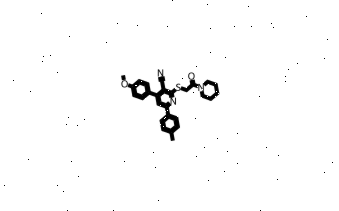 COc1ccc(-c2cc(-c3ccc(C)cc3)nc(SCC(=O)N3CCCCC3)c2C#N)cc1